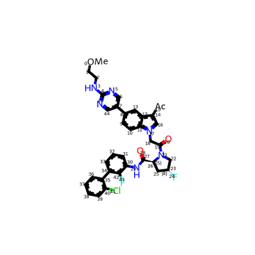 COCCNc1ncc(-c2ccc3c(c2)c(C(C)=O)cn3CC(=O)N2C[C@H](F)C[C@H]2C(=O)Nc2cccc(-c3ccccc3Cl)c2F)cn1